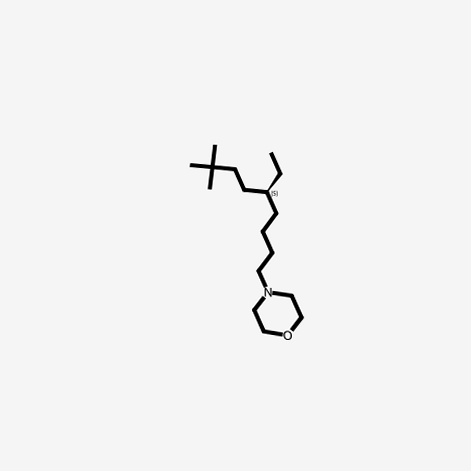 CC[C@@H](CCCCN1CCOCC1)CCC(C)(C)C